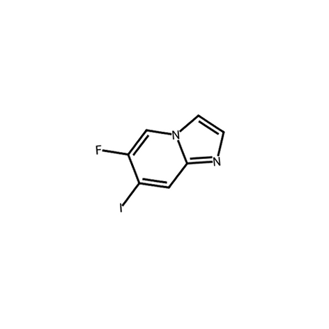 Fc1cn2ccnc2cc1I